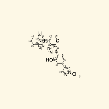 Cn1cc(-c2ccc(-c3cc4c(nn3)C(C3C[C@H]5CCC[C@@H](C3)N5)=CCO4)c(O)c2)cn1